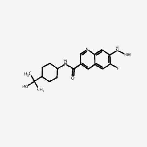 CCCCNc1cc2ncc(C(=O)NC3CCC(C(C)(C)O)CC3)cc2cc1F